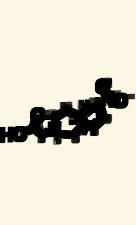 O=C(O)CN1CCc2ccc([N+](=O)[O-])cc2CC1